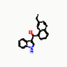 CCc1ccc2cccc(C(=O)c3c[nH]c4ccccc34)c2c1